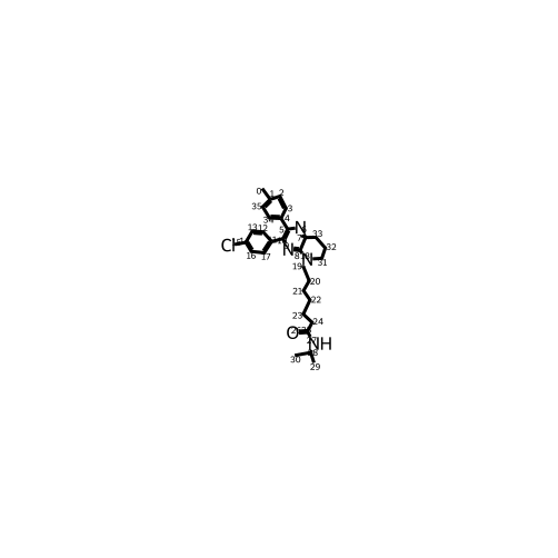 Cc1ccc(-c2nc3c(nc2-c2ccc(Cl)cc2)N(CCCCCCC(=O)NC(C)C)CCC3)cc1